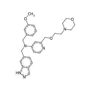 COc1cccc(CN(Cc2ccc3cn[nH]c3c2)c2ccnc(COCCN3CCOCC3)c2)c1